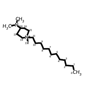 CCCCCCCCCCCC[N+]1(I)CCC(N(C)C)CC1